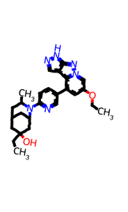 CCOc1cc(-c2ccc(N3C(C)CC4CC3CC(O)(CC)C4)nc2)c2c3cn[nH]c3nn2c1